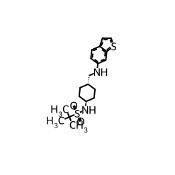 CC(C)(C)S(=O)(=O)N[C@H]1CC[C@H](CNc2ccc3ccsc3c2)CC1